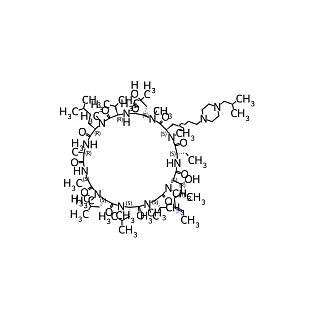 C/C=C/C[C@@H](C)[C@@H](O)[C@H]1C(=O)N[C@@H](CC)C(=O)N(C)[C@H](CSCCN2CCN(CC(C)C)CC2)C(=O)N(C)[C@@H](CC(C)(C)O)C(=O)N[C@H](C(C)C)C(=O)N(C)[C@H](CCC(C)C)C(=O)N[C@H](C)C(=O)N[C@@H](C)C(=O)N(C)[C@@H](CC(C)C)C(=O)N(C)[C@@H](CC(C)C)C(=O)N(C)[C@@H](C(C)C)C(=O)N1C